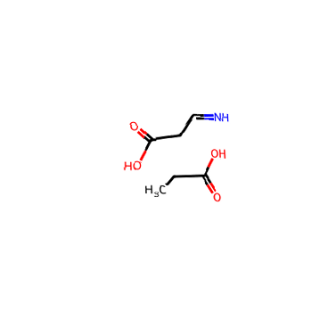 CCC(=O)O.N=CCC(=O)O